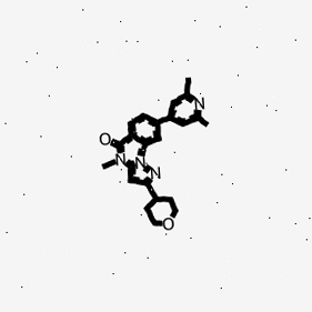 Cc1cc(-c2ccc3c(=O)n(C)c4cc(C5CCOCC5)nn4c3c2)cc(C)n1